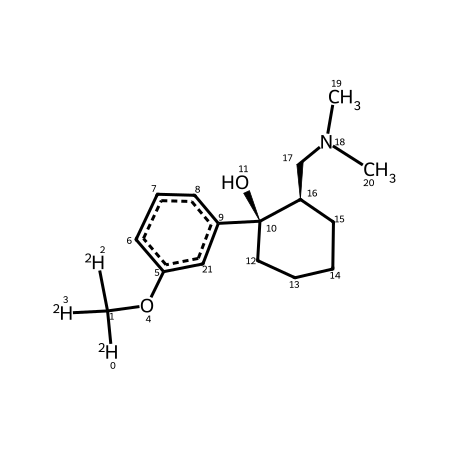 [2H]C([2H])([2H])Oc1cccc([C@@]2(O)CCCC[C@@H]2CN(C)C)c1